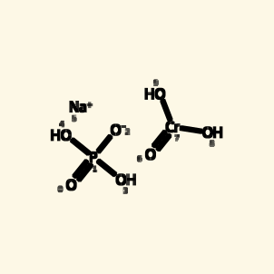 O=P([O-])(O)O.[Na+].[O]=[Cr]([OH])[OH]